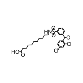 O=C(O)CCCCCCCCCCNS(=O)(=O)c1cccc(C(=O)c2ccc(Cl)cc2Cl)c1